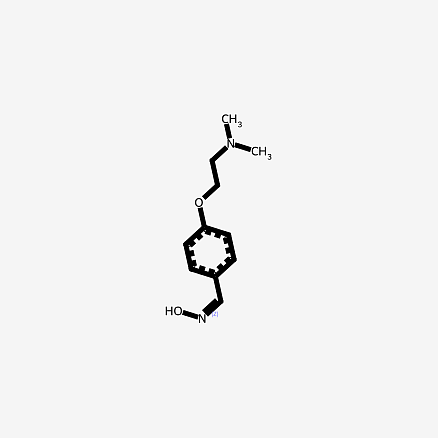 CN(C)CCOc1ccc(/C=N\O)cc1